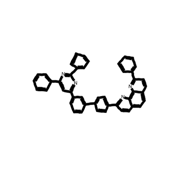 c1ccc(-c2cc(-c3cccc(-c4ccc(-c5ccc6ccc7ccc(-c8ccccc8)nc7c6n5)cc4)c3)nc(-c3ccccc3)n2)cc1